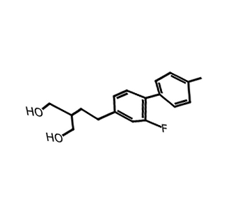 Cc1ccc(-c2ccc(CCC(CO)CO)cc2F)cc1